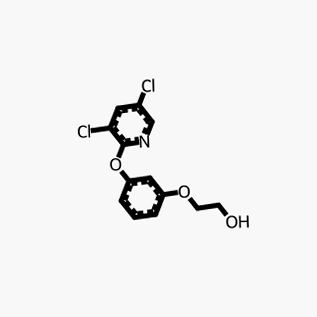 OCCOc1cccc(Oc2ncc(Cl)cc2Cl)c1